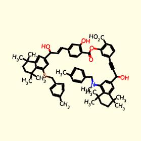 Cc1ccc(CSc2cc(C(O)C=Cc3ccc(C(=O)Oc4cc(C#CC(O)c5cc(N(C)Cc6ccc(C)cc6)c6c(c5)C(C)(C)CCC6(C)C)ccc4C(=O)O)c(O)c3)cc3c2C(C)(C)CCC3(C)C)cc1